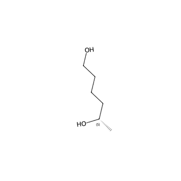 C[C@H](O)CCCCO